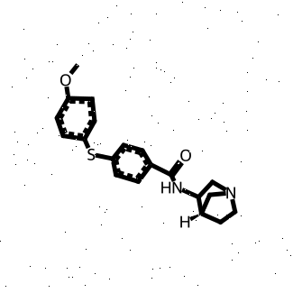 COc1ccc(Sc2ccc(C(=O)NC3CN4CC[C@H]3C4)cc2)cc1